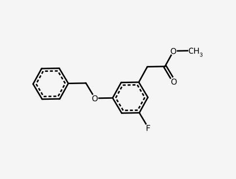 COC(=O)Cc1cc(F)cc(OCc2ccccc2)c1